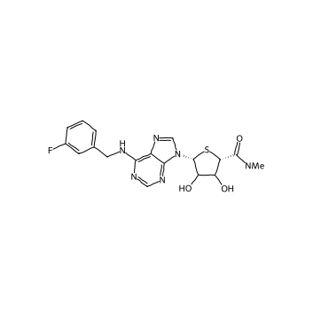 CNC(=O)[C@H]1S[C@@H](n2cnc3c(NCc4cccc(F)c4)ncnc32)C(O)C1O